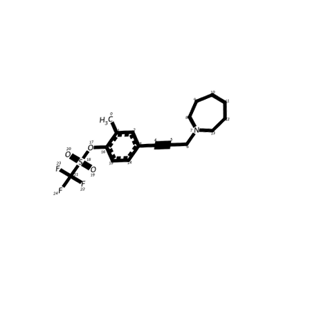 Cc1cc(C#CCN2CCCCCC2)ccc1OS(=O)(=O)C(F)(F)F